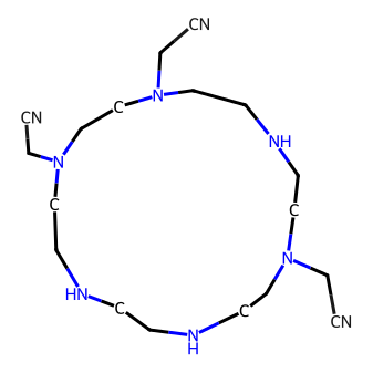 N#CCN1CCNCCNCCN(CC#N)CCN(CC#N)CCNCC1